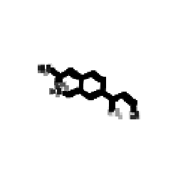 C=C(C)/C=c1/ccc(C(=C)/C=C\CC)c/c1=C/C